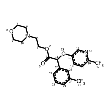 O=C(OCCN1CCOCC1)C(Oc1ccc(C(F)(F)F)nc1)c1cccc(C(F)(F)F)c1